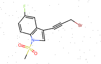 CS(=O)(=O)n1cc(C#CCBr)c2cc(F)ccc21